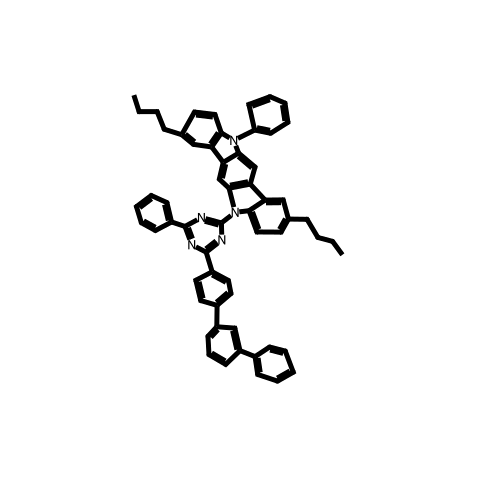 CCCCc1ccc2c(c1)c1cc3c(cc1n2-c1ccccc1)c1cc(CCCC)ccc1n3-c1nc(-c2ccccc2)nc(-c2ccc(-c3cccc(-c4ccccc4)c3)cc2)n1